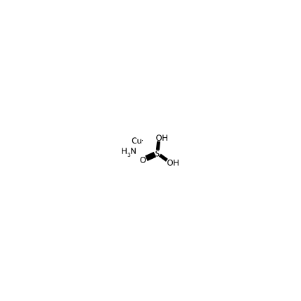 N.O=S(O)O.[Cu]